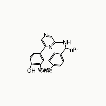 CCCC(Nc1cncc(-c2ccc(O)c(OC)c2)n1)c1ccc(OC)cc1